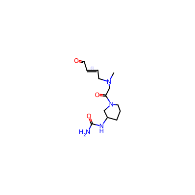 CN(C/C=C/C=O)CC(=O)N1CCCC(NC(N)=O)C1